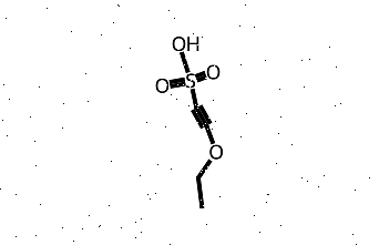 CCOC#CS(=O)(=O)O